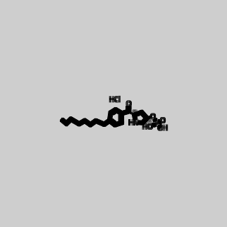 CCCCCCCCc1ccc(C(=O)[C@@H]2C[C@@H](OP(=O)(O)O)CN2)cc1.Cl